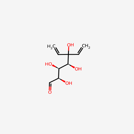 C=CC(O)(C=C)[C@@H](O)[C@H](O)[C@@H](O)C=O